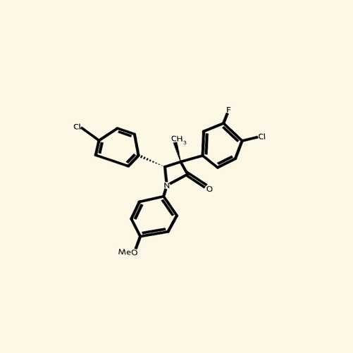 COc1ccc(N2C(=O)[C@@](C)(c3ccc(Cl)c(F)c3)[C@H]2c2ccc(Cl)cc2)cc1